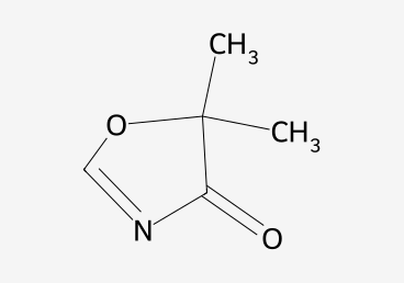 CC1(C)OC=NC1=O